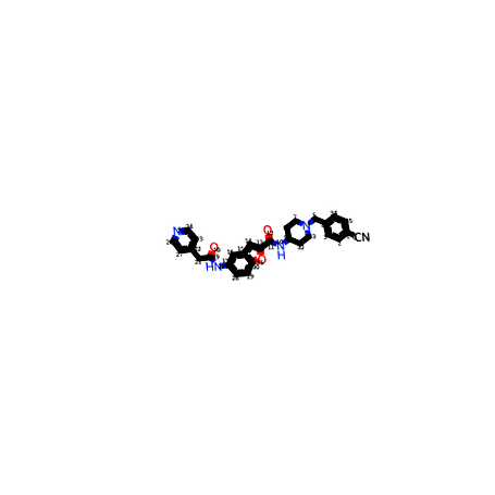 N#Cc1ccc(CN2CCC(NC(=O)c3cc4cc(NC(=O)Cc5ccncc5)ccc4o3)CC2)cc1